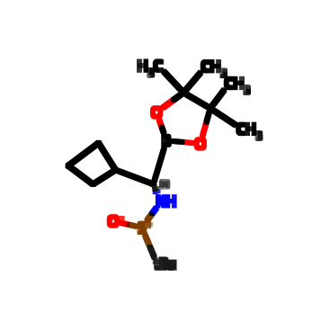 CC(C)(C)[S+]([O-])N[C@@H](B1OC(C)(C)C(C)(C)O1)C1CCC1